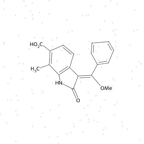 COC(=C1C(=O)Nc2c1ccc(C(=O)O)c2C)c1ccccc1